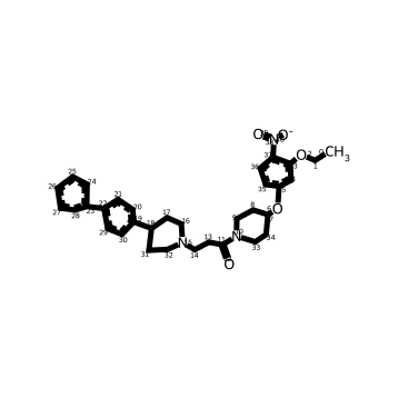 CCOc1cc(OC2CCN(C(=O)CCN3CCC(c4ccc(-c5ccccc5)cc4)CC3)CC2)ccc1[N+](=O)[O-]